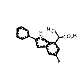 NC(C(=O)O)c1cc(F)cc2cc(-c3ccccc3)[nH]c12